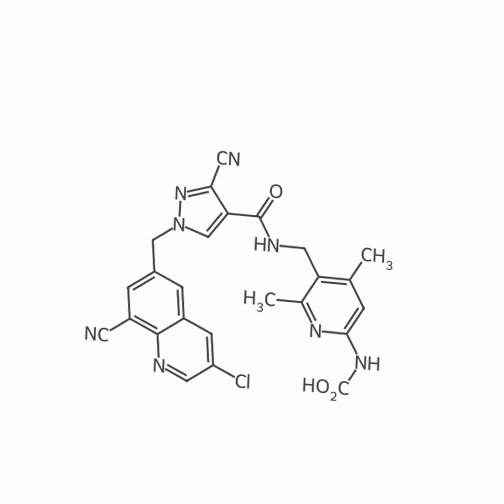 Cc1cc(NC(=O)O)nc(C)c1CNC(=O)c1cn(Cc2cc(C#N)c3ncc(Cl)cc3c2)nc1C#N